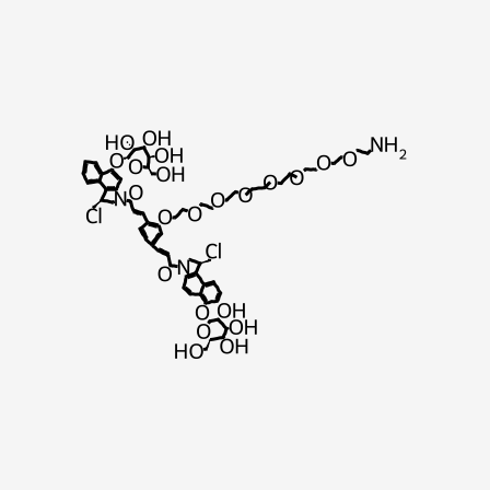 NCCOCCOCCOCCOCCOCCOCCOCCOc1cc(/C=C/C(=O)N2C[C@@H](CCl)c3c2ccc2c(O[C@@H]4O[C@H](CO)[C@H](O)[C@H](O)[C@H]4O)cccc32)ccc1/C=C/C(=O)N1C[C@@H](CCl)c2c1cc(O[C@@H]1O[C@H](CO)[C@H](O)[C@H](O)[C@H]1O)c1ccccc21